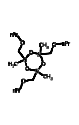 CCCOC[Si]1(C)O[Si](C)(COCCC)O[Si](C)(COCCC)O1